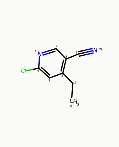 CCc1cc(Cl)ncc1C#N